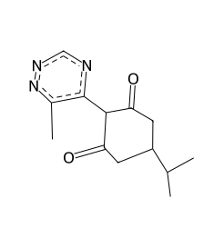 Cc1nncnc1C1C(=O)CC(C(C)C)CC1=O